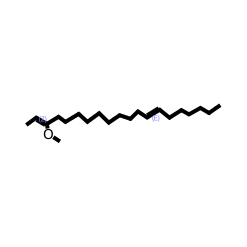 C/C=C(/CCCCCCCCC/C=C/CCCCCC)OC